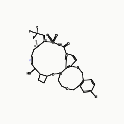 C[C@H]1C/C=C\C(O)C2CCC2CN2CCCCc3cc(Cl)ccc3COc3ccc(cc32)C(=O)NS(=O)(=O)[C@@H]1CC(F)(F)F